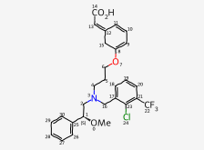 CO[C@H](CN(CCCOC1=CC=CC(=CC(=O)O)C1)Cc1cccc(C(F)(F)F)c1Cl)c1ccccc1